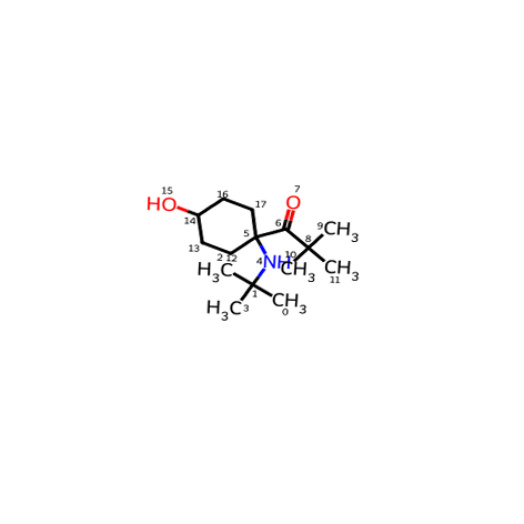 CC(C)(C)NC1(C(=O)C(C)(C)C)CCC(O)CC1